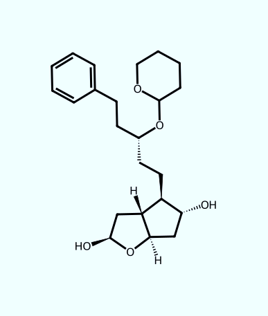 O[C@@H]1C[C@H]2O[C@@H](O)C[C@@H]2[C@H]1CC[C@H](CCc1ccccc1)OC1CCCCO1